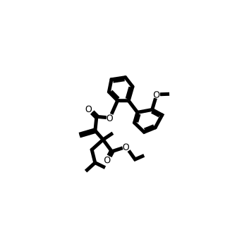 C=C(C(=O)Oc1ccccc1-c1ccccc1OC)C(C)(CC(C)C)C(=O)OCC